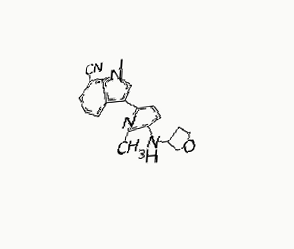 Cc1nc(-c2cn(I)c3c(C#N)cccc23)ccc1NC1CCOC1